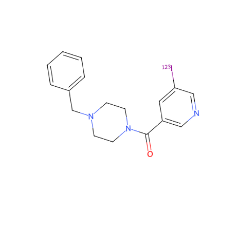 O=C(c1cncc([123I])c1)N1CCN(Cc2ccccc2)CC1